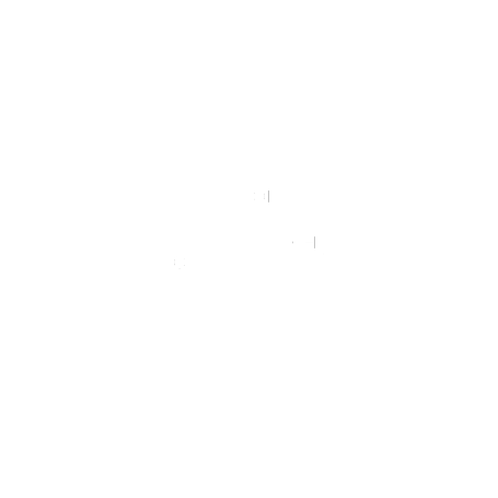 CC(O)C1CCCOC1